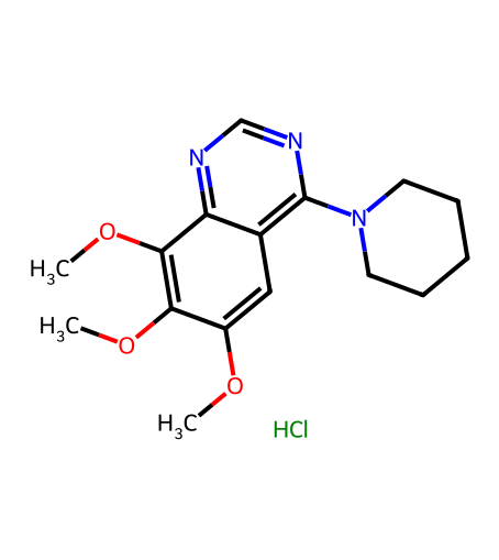 COc1cc2c(N3CCCCC3)ncnc2c(OC)c1OC.Cl